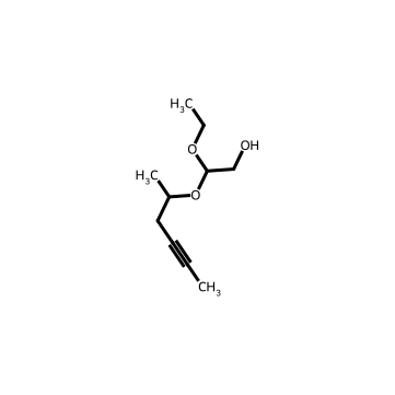 CC#CCC(C)OC(CO)OCC